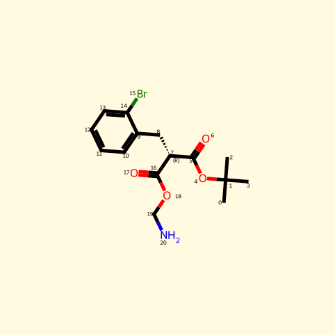 CC(C)(C)OC(=O)[C@@H](Cc1ccccc1Br)C(=O)OCN